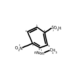 CCCCCCCCCC.O=[N+]([O-])c1ccc(S(=O)(=O)O)cc1